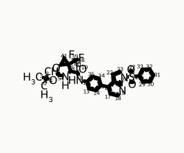 CC(C)(C)OC(=O)NC(C(=O)Nc1ccc(-c2ccnc3c2ccn3S(=O)(=O)c2ccccc2)cc1)C1(C(F)(F)F)CC1